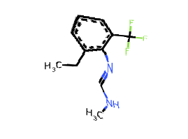 CCc1cccc(C(F)(F)F)c1N=CNC